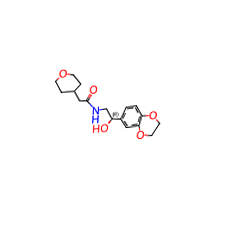 O=C(CC1CCOCC1)NC[C@H](O)c1ccc2c(c1)OCCO2